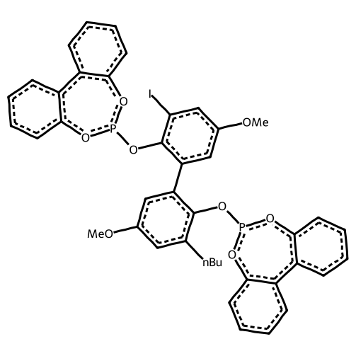 CCCCc1cc(OC)cc(-c2cc(OC)cc(I)c2Op2oc3ccccc3c3ccccc3o2)c1Op1oc2ccccc2c2ccccc2o1